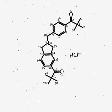 CC(C)(C)C(=O)c1ccc(CN2Cc3ccc(C(=O)C(C)(C)C)cc3C2)cc1.Cl